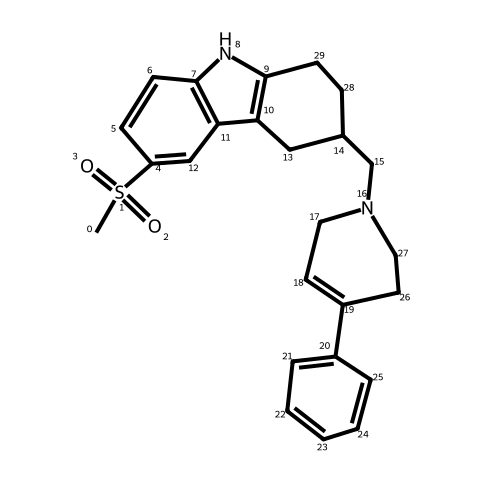 CS(=O)(=O)c1ccc2[nH]c3c(c2c1)CC(CN1CC=C(c2ccccc2)CC1)CC3